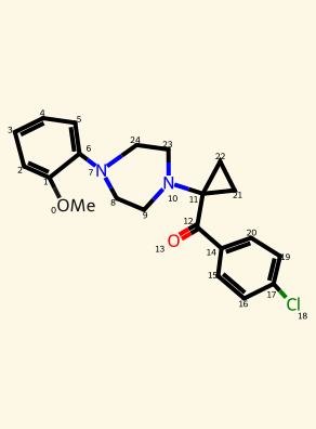 COc1ccccc1N1CCN(C2(C(=O)c3ccc(Cl)cc3)CC2)CC1